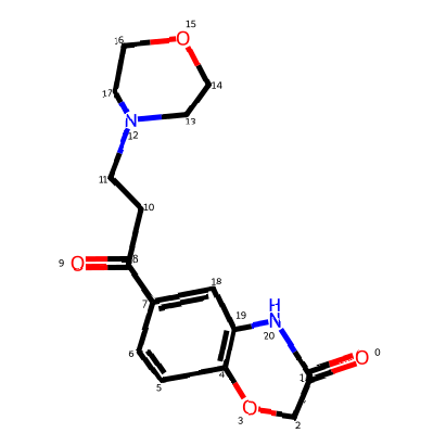 O=C1COc2ccc(C(=O)CCN3CCOCC3)cc2N1